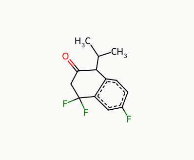 CC(C)C1C(=O)CC(F)(F)c2cc(F)ccc21